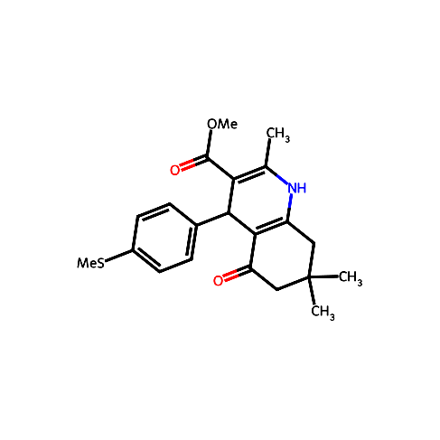 COC(=O)C1=C(C)NC2=C(C(=O)CC(C)(C)C2)C1c1ccc(SC)cc1